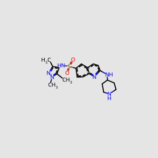 Cc1nn(C)c(C)c1NS(=O)(=O)c1ccc2nc(NC3CCNCC3)ccc2c1